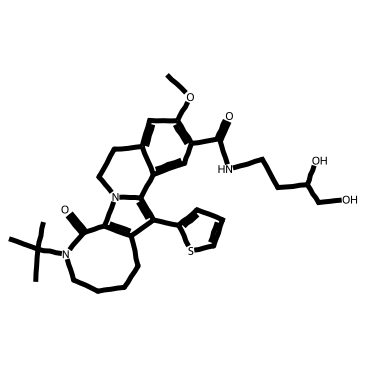 COc1cc2c(cc1C(=O)NCCC(O)CO)-c1c(-c3cccs3)c3c(n1CC2)C(=O)N(C(C)(C)C)CCCC3